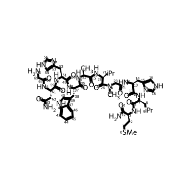 CSCC[C@H](NC(=O)[C@H](CC(C)C)NC(=O)[C@H](Cc1c[nH]cn1)NC(=O)CN(C)C(=O)[C@@H](NC(=O)[C@H](C)NC(=O)[C@H](Cc1c[nH]c2ccccc12)NC(=O)[C@H](Cc1c[nH]cn1)NC(=O)[C@H](CC(N)=O)NC(=O)CN)C(C)C)C(N)=O